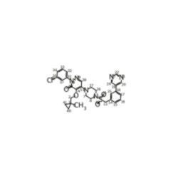 CC1(COc2c(N3CCN(S(=O)(=O)Cc4cccc(-c5cncnc5)c4)CC3)cnn(-c3cccc(Cl)c3)c2=O)CC1